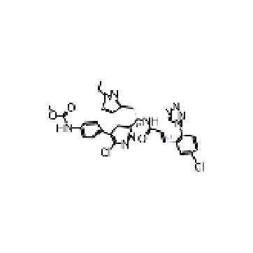 CCn1ccc(C[C@H](NC(=O)/C=C/c2cc(Cl)ccc2-n2cnnn2)c2cc(-c3ccc(NC(=O)OC)cc3)c(Cl)nn2)n1